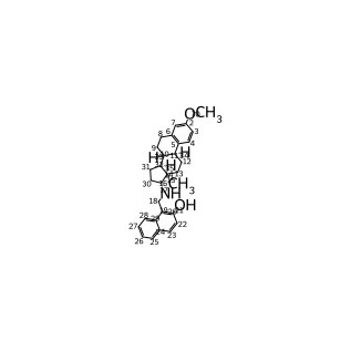 COc1ccc2c(c1)CC[C@@H]1[C@@H]2CC[C@]2(C)[C@H](NCc3c(O)ccc4ccccc34)CC[C@@H]12